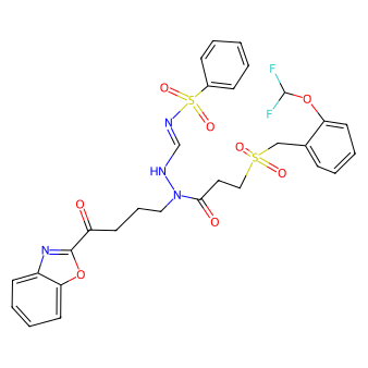 O=C(CCCN(NC=NS(=O)(=O)c1ccccc1)C(=O)CCS(=O)(=O)Cc1ccccc1OC(F)F)c1nc2ccccc2o1